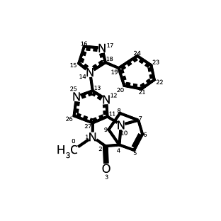 CN1C(=O)C23C=CC(CC2)N3c2nc(-n3ccnc3-c3ccccc3)ncc21